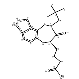 CC(C)(C)CN1Cc2c(ccc3[nH]ncc23)C[C@H](CCCC(=O)O)C1=O